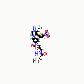 CC(=O)NCC1CN(c2ccc(N3CCNC(C)C3c3ccc([N+](=O)[O-])s3)c(F)c2)C(=O)O1